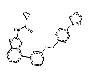 O=C(Nc1nc2cccc(-c3cccc(OCc4ccc(-n5cccn5)cc4)c3)n2n1)C1CC1